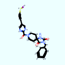 O=C(c1ncc(C#CSI)cn1)N1CCC2(CC1)NC(=O)N(Cc1ccccc1)C2=O